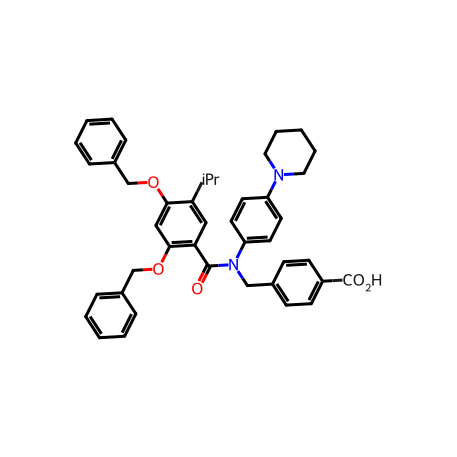 CC(C)c1cc(C(=O)N(Cc2ccc(C(=O)O)cc2)c2ccc(N3CCCCC3)cc2)c(OCc2ccccc2)cc1OCc1ccccc1